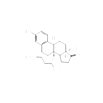 C[C@]12CC[C@@H]3c4ccc(O)cc4CC[C@H]3[C@@H]1CCC2=O.O=C(O)CCCC(=O)O